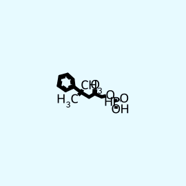 CC(C)(CC(=O)CO[PH](=O)O)c1ccccc1